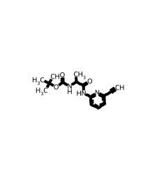 C#Cc1cccc(NC(=O)C(C)NC(=O)OC(C)(C)C)n1